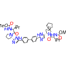 COC(=O)N[C@H](C(=O)N1C[Si]2(CCCC2)C[C@H]1c1cnc(-c2ccc(-c3ccc(-c4cnc([C@@H]5CCCN5C(=O)[C@@H](NC(=O)OC)C(C)C)[nH]4)cc3)cc2)[nH]1)C(C)C